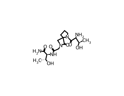 C[C@@H](O)[C@H](N)C(=O)N1CCCC12CN(CC(=O)N[C@H](C(N)=O)[C@@H](C)O)C2=O